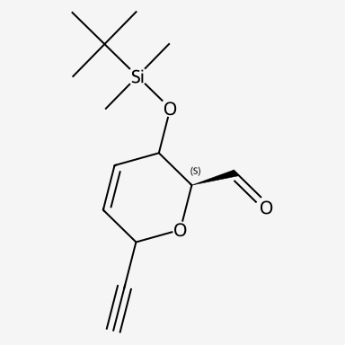 C#CC1C=CC(O[Si](C)(C)C(C)(C)C)[C@@H](C=O)O1